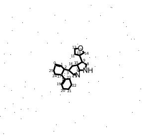 C1=CC(C2C=NC3NCC(C4CCOC4)C3C2)C(C2=CCCCC2)CC1